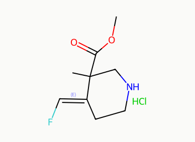 COC(=O)C1(C)CNCC/C1=C\F.Cl